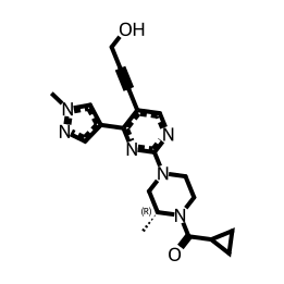 C[C@@H]1CN(c2ncc(C#CCO)c(-c3cnn(C)c3)n2)CCN1C(=O)C1CC1